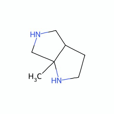 CC12CNCC1CCN2